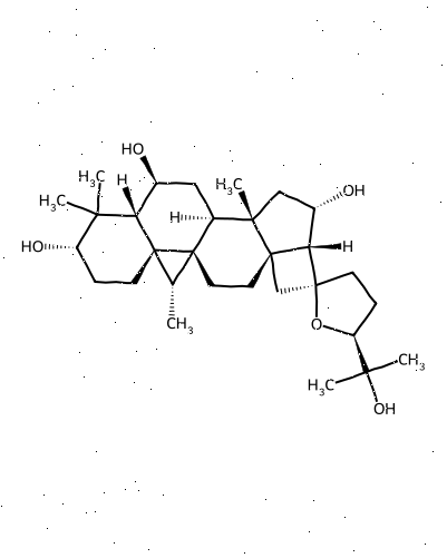 C[C@H]1[C@@]23CC[C@]45C[C@@]6(CC[C@@H](C(C)(C)O)O6)[C@H]4[C@@H](O)C[C@@]5(C)[C@@H]2C[C@H](O)[C@H]2C(C)(C)[C@@H](O)CC[C@@]123